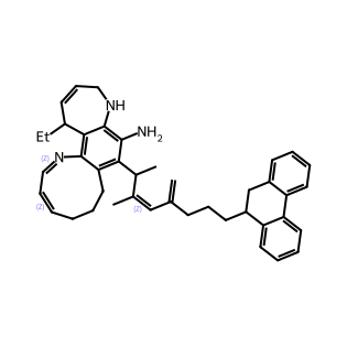 C=C(/C=C(/C)C(C)c1c(N)c2c(c3c1CCC/C=C\C=N/3)C(CC)C=CCN2)CCCC1Cc2ccccc2-c2ccccc21